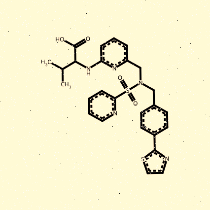 CC(C)C(Nc1cccc(CN(Cc2ccc(-c3nccs3)cc2)S(=O)(=O)c2ccccn2)n1)C(=O)O